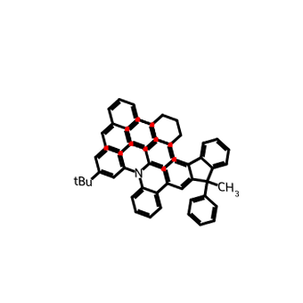 CC(C)(C)c1ccc(-c2ccccc2)c(N(c2ccccc2-c2ccc3c(c2)C(C)(c2ccccc2)c2ccccc2-3)c2ccccc2-c2cccc3cccc(C4CCCCC4)c23)c1